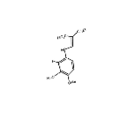 CCOC(=O)C(=CNc1ccc(OC)c(OC)c1F)C(=O)OCC